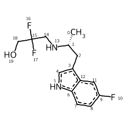 C[C@H](Cc1c[nH]c2ccc(F)cc12)NCC(F)(F)CO